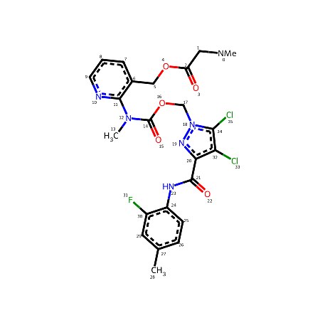 CNCC(=O)OCc1cccnc1N(C)C(=O)OCn1nc(C(=O)Nc2ccc(C)cc2F)c(Cl)c1Cl